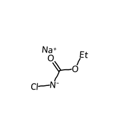 CCOC(=O)[N-]Cl.[Na+]